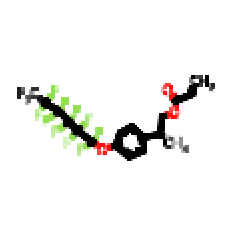 C=CC(=O)OCC(C)c1ccc(OC(F)(F)C(F)(F)C(F)(F)C(F)(F)C(F)(F)C(F)(F)F)cc1